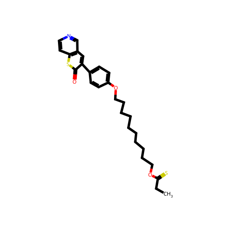 CCC(=S)OCCCCCCCCCCOc1ccc(-c2cc3cnccc3sc2=O)cc1